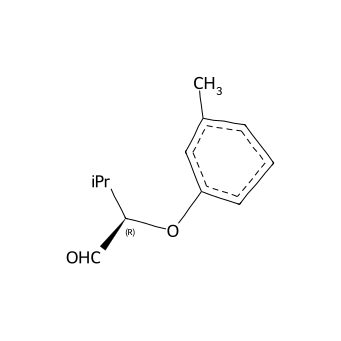 Cc1cccc(O[C@@H](C=O)C(C)C)c1